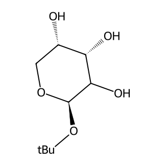 CC(C)(C)O[C@H]1OC[C@H](O)[C@H](O)C1O